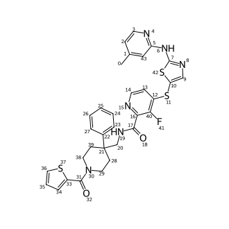 Cc1ccnc(Nc2ncc(Sc3ccnc(C(=O)NCC4(c5ccccc5)CCN(C(=O)c5cccs5)CC4)c3F)s2)c1